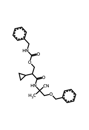 CC(C#N)(COCc1ccccc1)NC(=O)C(COC(=O)NCc1ccccc1)C1CC1